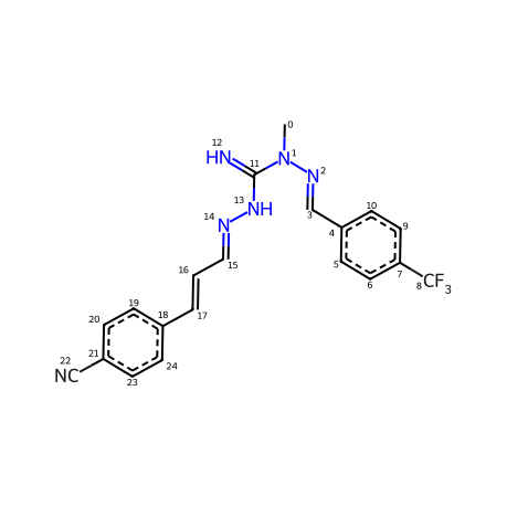 CN(N=Cc1ccc(C(F)(F)F)cc1)C(=N)NN=CC=Cc1ccc(C#N)cc1